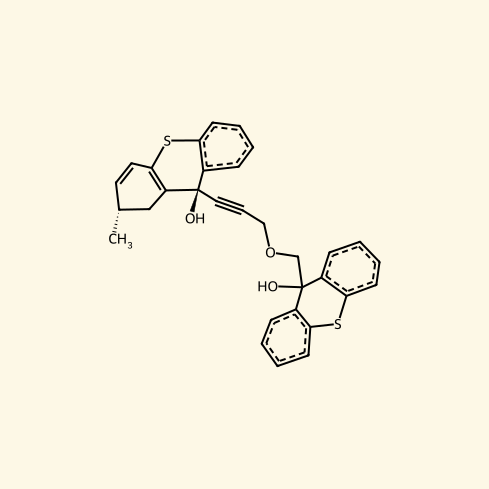 C[C@@H]1C=CC2=C(C1)[C@@](O)(C#CCOCC1(O)c3ccccc3Sc3ccccc31)c1ccccc1S2